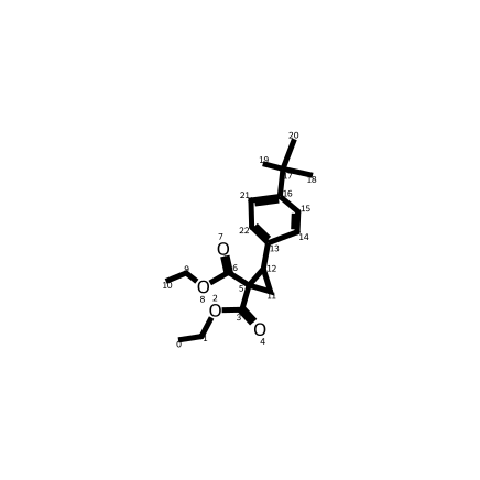 CCOC(=O)C1(C(=O)OCC)CC1c1ccc(C(C)(C)C)cc1